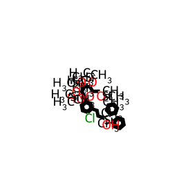 CC(C)(CCc1cc(C2(O)OC(CO[Si](C)(C)C)C(O[Si](C)(C)C)C(O[Si](C)(C)C)[C@H]2O[Si](C)(C)C)ccc1Cl)[Si](O)(c1ccccc1)c1ccccc1